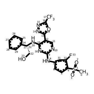 CS(=O)(=O)c1ccc(Nc2ncc(-c3nnc(C(F)(F)F)o3)c(N[C@H](CO)c3ccccc3)n2)cc1F